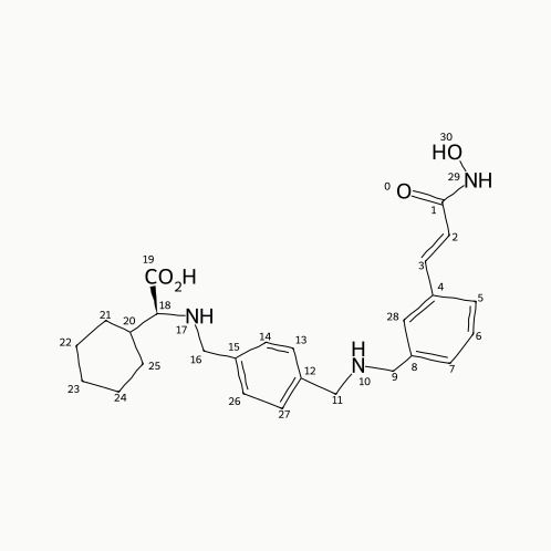 O=C(C=Cc1cccc(CNCc2ccc(CN[C@H](C(=O)O)C3CCCCC3)cc2)c1)NO